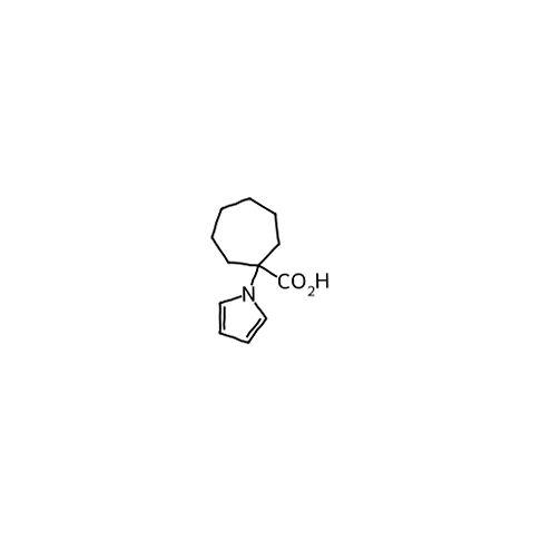 O=C(O)C1(n2cccc2)CCCCCC1